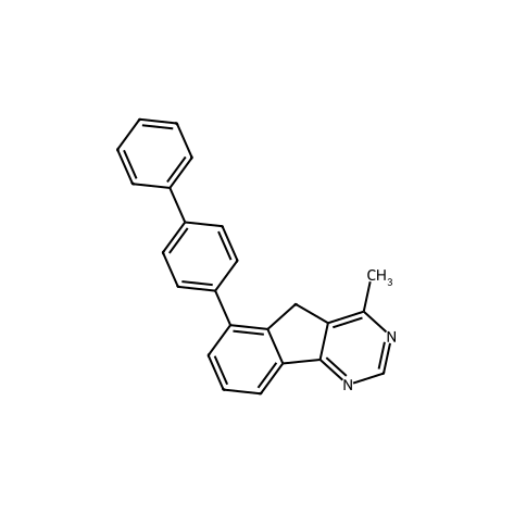 Cc1ncnc2c1Cc1c(-c3ccc(-c4ccccc4)cc3)cccc1-2